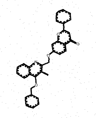 Cc1c(COc2ccc3c(=O)cc(-c4ccccc4)oc3c2)nc2ccccc2c1OCc1ccccc1